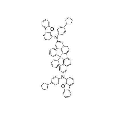 c1ccc(C2(c3ccccc3)c3c(ccc4cc(N(c5ccc(C6CCCC6)cc5)c5cccc6c5oc5ccccc56)ccc34)-c3ccc4cc(N(c5ccc(C6CCCC6)cc5)c5cccc6c5oc5ccccc56)ccc4c32)cc1